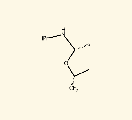 CC(C)N[C@H](C)O[C@H](C)C(F)(F)F